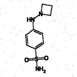 NS(=O)(=O)c1ccc(NN2CCC2)cc1